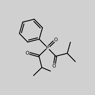 CC(C)C(=O)P(=O)(C(=O)C(C)C)c1ccccc1